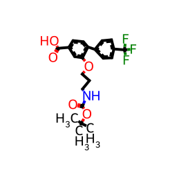 CC(C)(C)OC(=O)NCCCOc1cc(C(=O)O)ccc1-c1ccc(C(F)(F)F)cc1